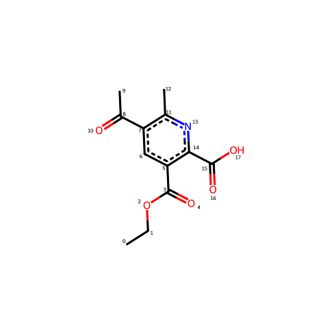 CCOC(=O)c1cc(C(C)=O)c(C)nc1C(=O)O